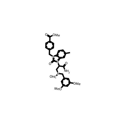 COC(=O)c1ccc(Cn2c(=O)n(C(CN(C=O)Cc3cc(OC)cc(OC)c3)C(N)=O)c3cc(C)ccc32)cc1